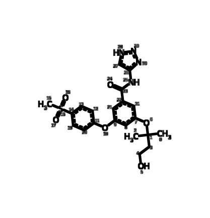 CC(C)(CCO)Oc1cc(Oc2ccc(S(C)(=O)=O)cc2)cc(C(=O)Nc2c[nH]nn2)c1